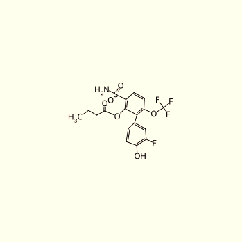 CCCC(=O)Oc1c(S(N)(=O)=O)ccc(OC(F)(F)F)c1-c1ccc(O)c(F)c1